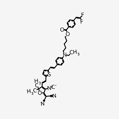 [C-]#[N+]C1=C(/C=C/c2ccc(/C=C/c3ccc(N(CC)CCCCCOC(=O)c4ccc(C=C(F)F)cc4)cc3)s2)C(C)(C)OC1=C(C#N)C#N